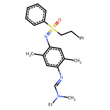 CCN(C)C=Nc1cc(C)c(N=S(=O)(CCC(C)C)c2ccccc2)cc1C